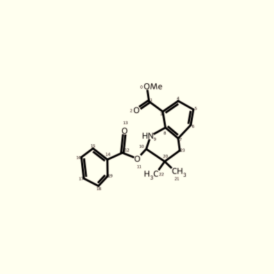 COC(=O)c1cccc2c1NC(OC(=O)c1ccccc1)C(C)(C)C2